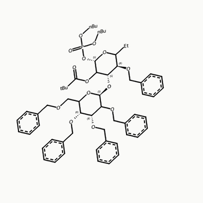 CCCCOP(=O)(OCCCC)O[C@@H]1OC(CC)[C@@H](OCc2ccccc2)[C@H](O[C@@H]2OC(COCc3ccccc3)[C@@H](OCc3ccccc3)[C@@H](OCc3ccccc3)C2OCc2ccccc2)C1OC(=O)C(C)(C)C